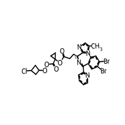 Cc1cnc2n1-c1cc(Br)c(Br)cc1C(c1ccccn1)=N[C@H]2CCC(=O)OC1(C(=O)OOC2CC(Cl)C2)CC1